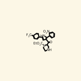 CCOC(=O)N1CCNCC1C(=O)c1cc(-c2ccc(C(F)(F)F)cc2)[nH]c1-c1ccccc1[N+](=O)[O-]